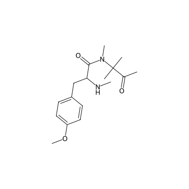 CNC(Cc1ccc(OC)cc1)C(=O)N(C)C(C)(C)C(C)=O